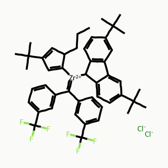 CCCC1C=C(C(C)(C)C)C=[C]1[Zr+2](=[C](c1cccc(C(F)(F)F)c1)c1cccc(C(F)(F)F)c1)[CH]1c2ccc(C(C)(C)C)cc2-c2cc(C(C)(C)C)ccc21.[Cl-].[Cl-]